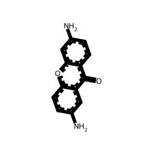 Nc1ccc2c(=O)c3cc(N)ccc3oc2c1